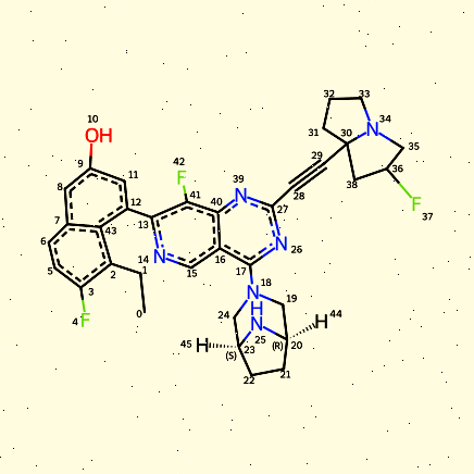 CCc1c(F)ccc2cc(O)cc(-c3ncc4c(N5C[C@H]6CC[C@@H](C5)N6)nc(C#CC56CCCN5CC(F)C6)nc4c3F)c12